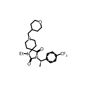 CCN1C(=O)N([C@H](C)c2ccc(C(F)(F)F)cc2)C(=O)C12CCN(CC1CCOCC1)CC2